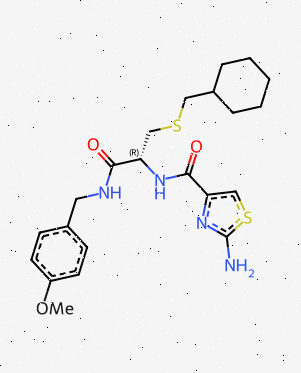 COc1ccc(CNC(=O)[C@H](CSCC2CCCCC2)NC(=O)c2csc(N)n2)cc1